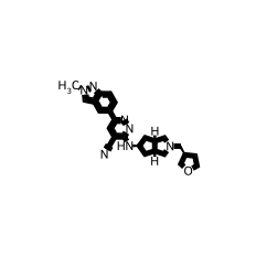 Cn1cc2cc(-c3cc(C#N)c(N[C@H]4C[C@@H]5CN(C[C@H]6CCOC6)C[C@@H]5C4)nn3)ccc2n1